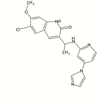 COc1cc2[nH]c(=O)c(C(C)Nc3cc(-n4ccnc4)ccn3)cc2cc1Cl